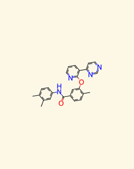 Cc1ccc(NC(=O)c2ccc(C)c(Oc3ncccc3-c3ccncn3)c2)cc1C